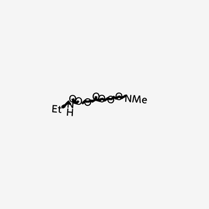 CCC#CCNC(=O)COCCO/C=C/C(=O)COCCOCCOCCNC